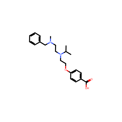 CC(C)N(CCOc1ccc(C(=O)O)cc1)CCN(C)Cc1ccccc1